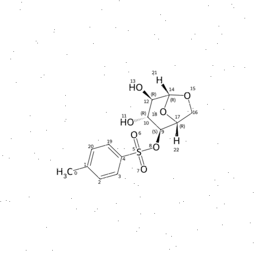 Cc1ccc(S(=O)(=O)O[C@H]2[C@H](O)[C@@H](O)[C@@H]3OC[C@H]2O3)cc1